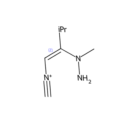 C#[N+]/C=C(/C(C)C)N(C)N